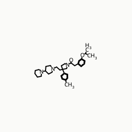 Cc1ccc(C2(CCN3CCC(N4CCCCC4)CC3)CCN(C(=O)Cc3cccc(OC(C)C)c3)C2)cc1